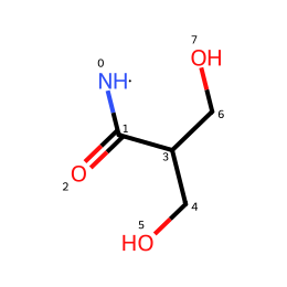 [NH]C(=O)C(CO)CO